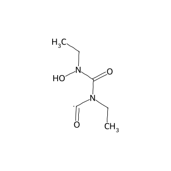 CCN(O)C(=O)N([C]=O)CC